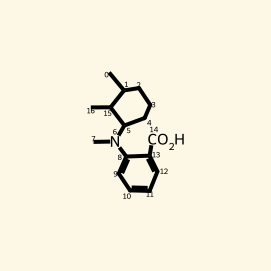 CC1CCCC(N(C)c2ccccc2C(=O)O)C1C